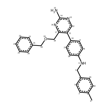 Cc1ccc(CNc2ccc(-c3cnc(N)nc3COCc3ccccc3)cc2)cc1